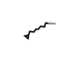 CCCCCCCCCCCC[C]1CC1